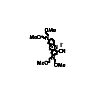 COCCN(CCOC)c1ccc2nc3c(C#N)cc(N(CCOC)CCOC)cc3[s+]c2c1.[I-]